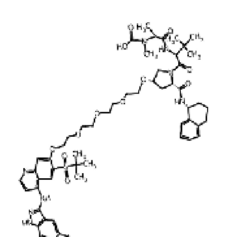 C[C@@H](C(=O)N[C@H](C(=O)N1C[C@@H](OCCOCCOCCOCCOc2cc3nccc(Nc4n[nH]c5ccc(F)cc45)c3cc2S(=O)(=O)C(C)(C)C)C[C@H]1C(=O)N[C@@H]1CCCc2ccccc21)C(C)(C)C)N(C)C(=O)O